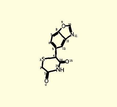 O=C1CSC(c2ccc3ocnc3c2)C(=O)N1